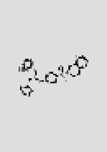 O=S(=O)(c1ccc(CN(Cc2ncc[nH]2)Cc2ncc[nH]2)cc1)N1CCc2cccnc2C1